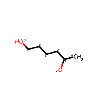 CC([O])[CH]CCCO